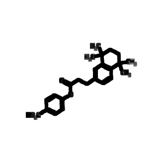 CC1(C)CCC(C)(C)c2cc(CCC(=O)Oc3ccc(C(=O)O)cc3)ccc21